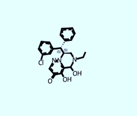 CCN1C[C@H]([C@@H](c2ccccc2)c2cccc(Cl)c2)n2ncc(=O)c(O)c2C1O